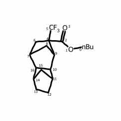 CCCCOC(=O)C1(C(F)(F)F)CC2CC1C1C3CCC(C3)C21